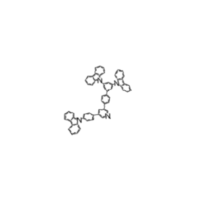 c1ccc2c(c1)c1ccccc1n2-c1ccc(-c2cncc(-c3ccc(-c4cc(-n5c6ccccc6c6ccccc65)cc(-n5c6ccccc6c6ccccc65)c4)cc3)c2)cc1